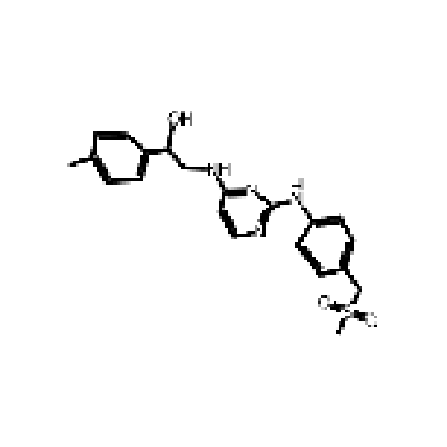 Cc1ccc(C(O)CNc2ccnc(Nc3ccc(CS(C)(=O)=O)cc3)n2)cc1